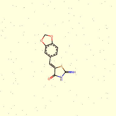 N=C1NC(=O)/C(=C/c2ccc3c(c2)OCO3)S1